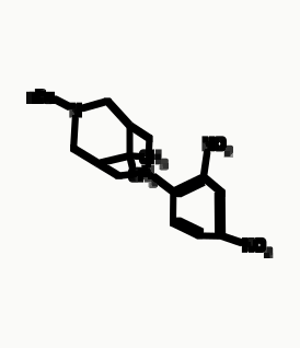 CCCCN1CC2CN(c3ccc([N+](=O)[O-])cc3[N+](=O)[O-])CC(C1)C2(C)C